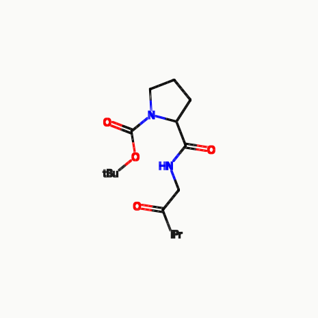 CC(C)C(=O)CNC(=O)C1CCCN1C(=O)OC(C)(C)C